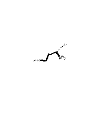 CC(=O)[C@H](N)CCN